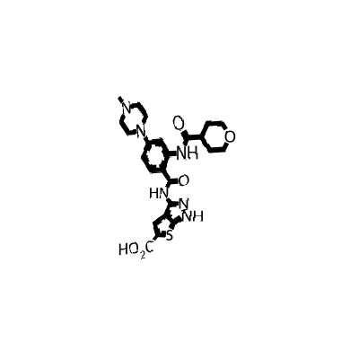 CN1CCN(c2ccc(C(=O)Nc3n[nH]c4sc(C(=O)O)cc34)c(NC(=O)C3CCOCC3)c2)CC1